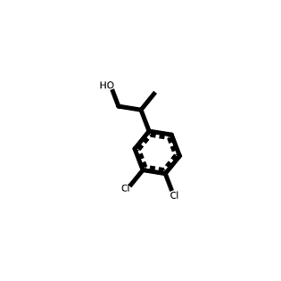 C[C](CO)c1ccc(Cl)c(Cl)c1